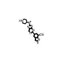 CN(c1nc2cnc(-c3cc(C#N)c4nn(C)cc4c3)nc2s1)C1CCNCC1